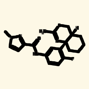 Cn1ccc(C(=O)Nc2ccc(F)c([C@]34CCCC[C@H]3CSC(N)=N4)c2)n1